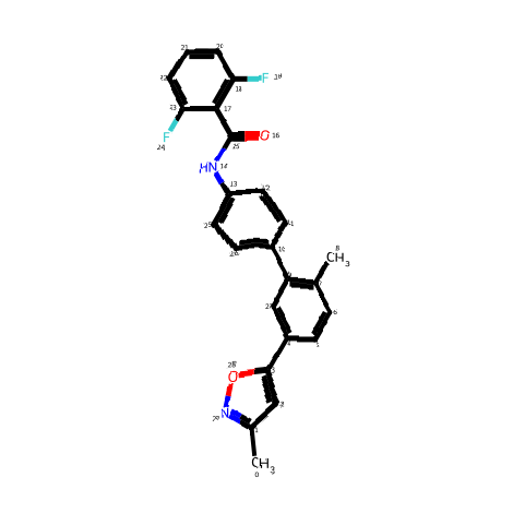 Cc1cc(-c2ccc(C)c(-c3ccc(NC(=O)c4c(F)cccc4F)cc3)c2)on1